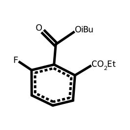 CCOC(=O)c1cccc(F)c1C(=O)OCC(C)C